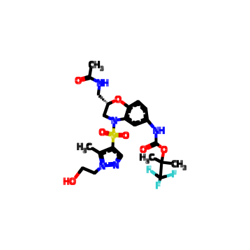 CC(=O)NC[C@H]1CN(S(=O)(=O)c2cnn(CCO)c2C)c2cc(NC(=O)OC(C)(C)C(F)(F)F)ccc2O1